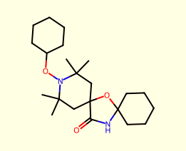 CC1(C)CC2(CC(C)(C)N1OC1CCCCC1)OC1(CCCCC1)NC2=O